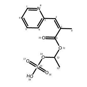 CC(=Cc1ccccn1)C(=O)OC(C)OS(=O)(=O)O